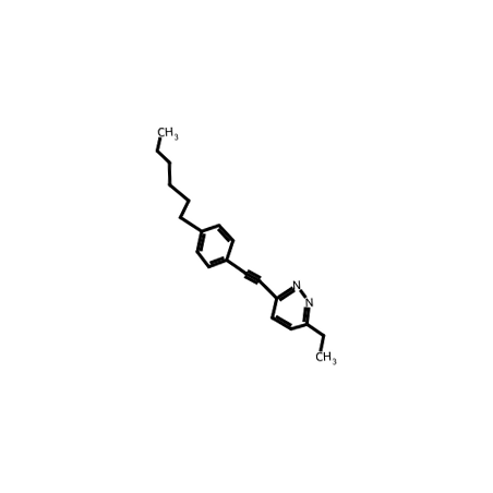 CCCCCCc1ccc(C#Cc2ccc(CC)nn2)cc1